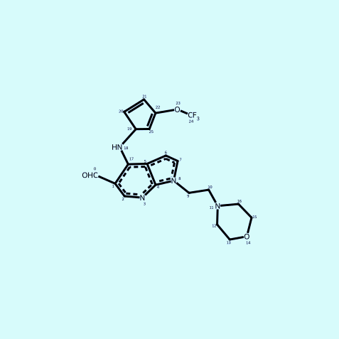 O=Cc1cnc2c(ccn2CCN2CCOCC2)c1NC1C=CC(OC(F)(F)F)=C1